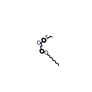 CCCCCCCCCOc1cccc(/C=C/C(=O)c2ccc(SCCC)cc2)c1